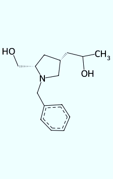 CC(O)C[C@H]1C[C@@H](CO)N(Cc2ccccc2)C1